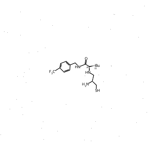 CC[C@H](C)[C@@H](NCC(N)CS)C(=O)NCc1ccc(C(F)(F)F)cc1